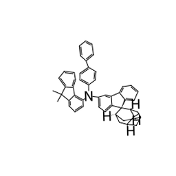 C[C@H]1[C@@H]2CC3C[C@@H](C2)[C@@]2(c4ccccc4-c4cc(N(c5ccc(-c6ccccc6)cc5)c5cccc6c5-c5ccccc5C6(C)C)ccc42)[C@@H]1C3